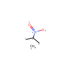 C.CC(C)[N+](=O)[O-]